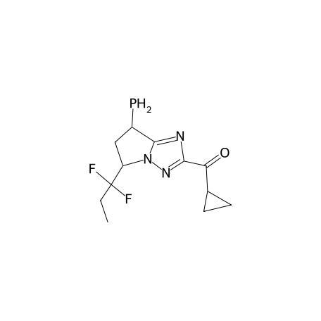 CCC(F)(F)C1CC(P)c2nc(C(=O)C3CC3)nn21